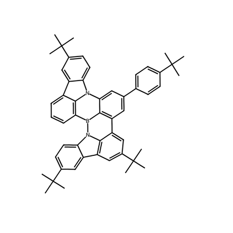 CC(C)(C)c1ccc(-c2cc3c4c(c2)-n2c5ccc(C(C)(C)C)cc5c5cccc(c52)B4n2c4ccc(C(C)(C)C)cc4c4cc(C(C)(C)C)cc-3c42)cc1